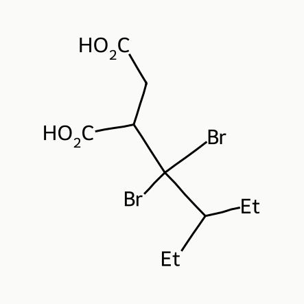 CCC(CC)C(Br)(Br)C(CC(=O)O)C(=O)O